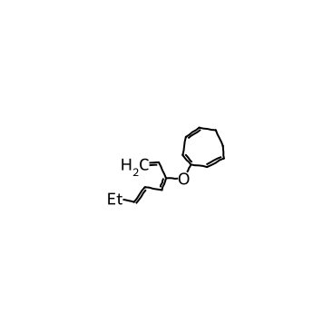 C=C/C(=C\C=C\CC)OC1=C/C=C\CC/C=C\1